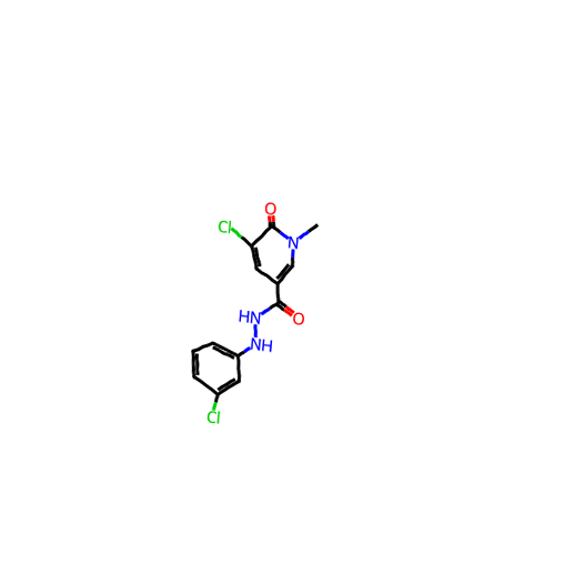 Cn1cc(C(=O)NNc2cccc(Cl)c2)cc(Cl)c1=O